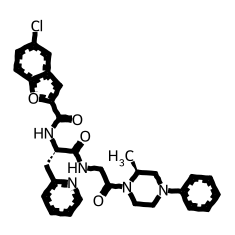 C[C@H]1CN(c2ccccc2)CCN1C(=O)CNC(=O)[C@H](Cc1ccccn1)NC(=O)c1cc2cc(Cl)ccc2o1